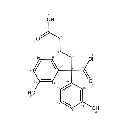 O=C(O)CCCC(C(=O)O)(c1cccc(O)c1)c1cccc(O)c1